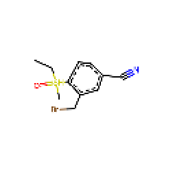 CC[SH](C)(=O)c1ccc(C#N)cc1CBr